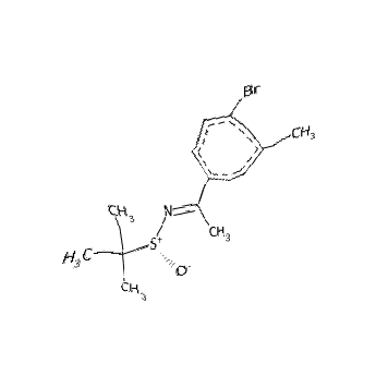 C/C(=N\[S@+]([O-])C(C)(C)C)c1ccc(Br)c(C)c1